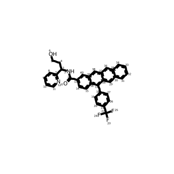 O=C(NC(CCO)c1ccccn1)c1ccc2c(-c3ccc(C(F)(F)F)cc3)c3cc4ccccc4cc3cc2c1